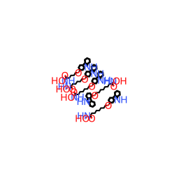 O=C(CCCCCCCOc1ccc2c(c1)[nH]c1ccccc12)NO.O=C(CCCCCCCOc1cccc2[nH]c3ccccc3c12)NO.O=C(CCCCCCOc1ccc2c(c1)[nH]c1ccccc12)NO.O=C(CCCCCOc1ccc2c(c1)[nH]c1ccccc12)NO.O=C(CCCCOc1ccc2c(c1)[nH]c1ccccc12)NO